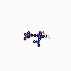 Cc1ccc2c(c1)c1cc(C)ccc1n2-c1ccc(-c2nc(-c3ccccc3)nc(-c3ccccc3)n2)cc1-c1cc(-c2ccccc2)nc(-c2ccc(-c3ccc(N4c5ccccc5B5c6ccccc6N(c6ccccc6)c6cccc4c65)cc3)cc2)n1